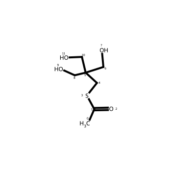 CC(=O)SCC(CO)(CO)CO